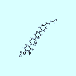 CCCCCc1ccc(-c2ccc(C3CCC(c4ccc(OCC)c(F)c4F)CO3)nc2)cc1